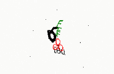 CC(C)(C)OC(=O)Oc1cccc(C=C(F)F)c1F